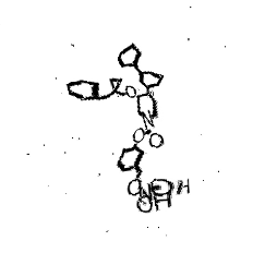 O=C(Oc1cccc(CON(O)O)c1)N1CC[C@H](c2cccc(-c3ccccc3)c2)C(OCC2(Cc3ccccc3)CC2)C1